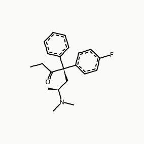 CCC(=O)[C@](C[C@H](C)N(C)C)(c1ccccc1)c1ccc(F)cc1